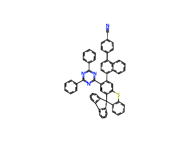 N#Cc1ccc(-c2ccc(-c3cc4c(cc3-c3nc(-c5ccccc5)nc(-c5ccccc5)n3)C3(c5ccccc5S4)c4ccccc4-c4ccccc43)c3ccccc23)cc1